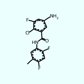 Cc1cc(NC(=O)c2cc(N)cc(F)c2Cl)c(F)cc1F